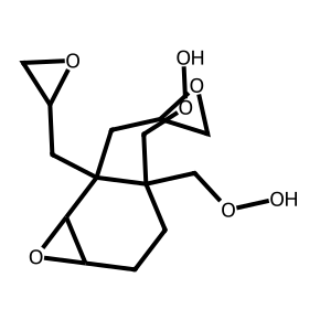 OOCC1(COO)CCC2OC2C1(CC1CO1)CC1CO1